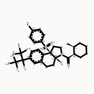 C[C@H]1CCCC[C@H]1C(=O)N1CC[C@@]2(S(=O)(=O)c3ccc(F)cc3)c3ccc(C(F)(C(F)(F)F)C(F)(F)F)cc3CC[C@@H]12